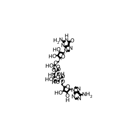 Nc1nc2c(ncn2[C@@H]2O[C@H](COP(=O)(O)OP(=O)(O)NP(=O)(O)OP(=O)(O)OC[C@H]3O[C@@H](n4cnc5c(N)ncnc54)C(O)C3O)C(O)[C@@H]2O)c(=O)[nH]1